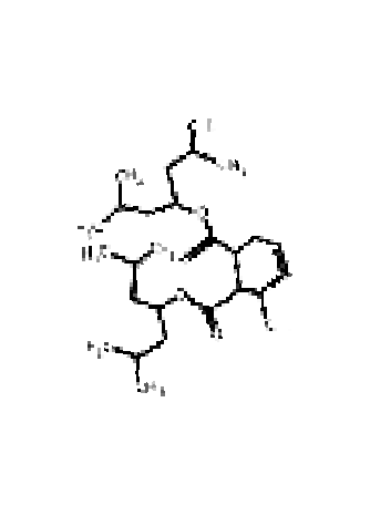 CC(C)CC(CC(C)C)OC(=O)C1CC=CC(C)C1C(=O)OC(CC(C)C)CC(C)C